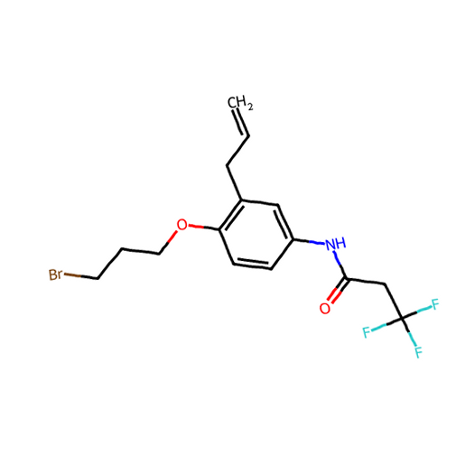 C=CCc1cc(NC(=O)CC(F)(F)F)ccc1OCCCBr